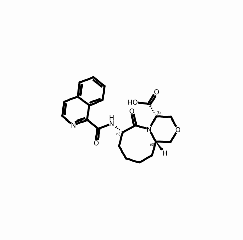 O=C(N[C@H]1CCCC[C@H]2COC[C@@H](C(=O)O)N2C1=O)c1nccc2ccccc12